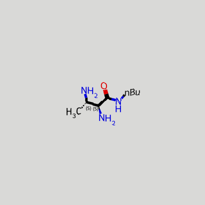 CCCCNC(=O)[C@@H](N)[C@H](C)N